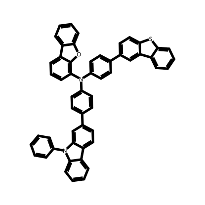 c1ccc(-n2c3ccccc3c3ccc(-c4ccc(N(c5ccc(-c6ccc7sc8ccccc8c7c6)cc5)c5cccc6c5oc5ccccc56)cc4)cc32)cc1